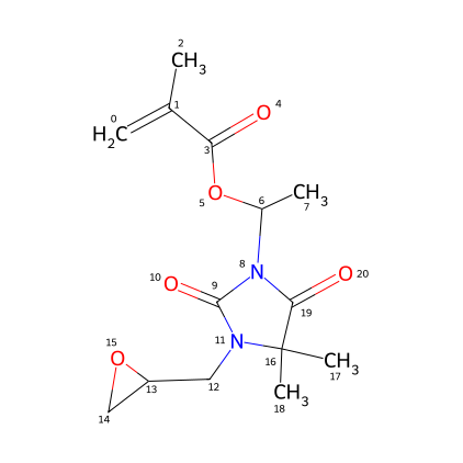 C=C(C)C(=O)OC(C)N1C(=O)N(CC2CO2)C(C)(C)C1=O